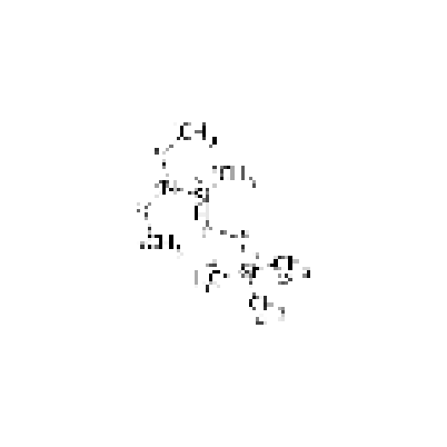 CCN(CC)[SiH](C)CC[Si](C)(C)C